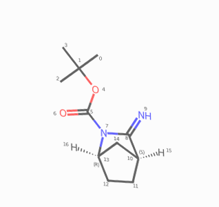 CC(C)(C)OC(=O)N1C(=N)[C@H]2CC[C@@H]1C2